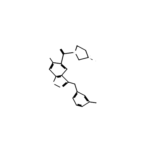 Cc1cccc(Cc2n[nH]c3cc(O)c(C(=O)N4CC[C@@H](O)C4)cc23)c1